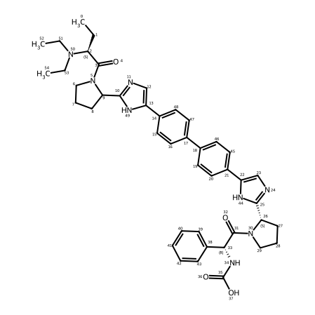 CC[C@@H](C(=O)N1CCCC1c1ncc(-c2ccc(-c3ccc(-c4cnc([C@@H]5CCCN5C(=O)[C@H](NC(=O)O)c5ccccc5)[nH]4)cc3)cc2)[nH]1)N(CC)CC